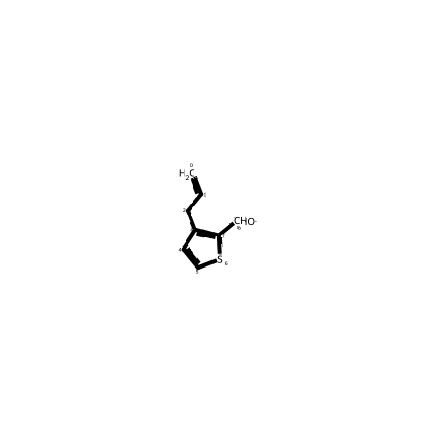 C=CCc1ccsc1[C]=O